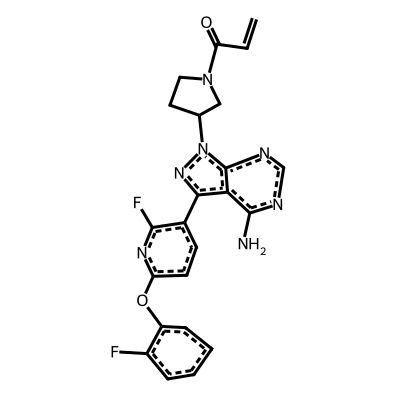 C=CC(=O)N1CCC(n2nc(-c3ccc(Oc4ccccc4F)nc3F)c3c(N)ncnc32)C1